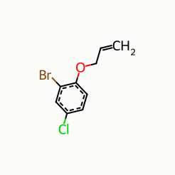 C=CCOc1ccc(Cl)cc1Br